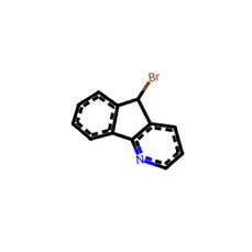 BrC1c2ccccc2-c2ncccc21